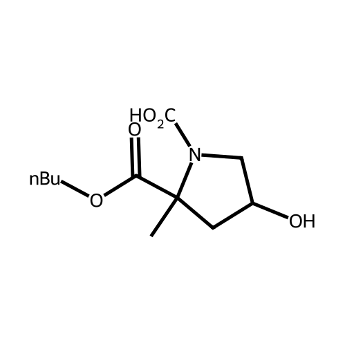 CCCCOC(=O)C1(C)CC(O)CN1C(=O)O